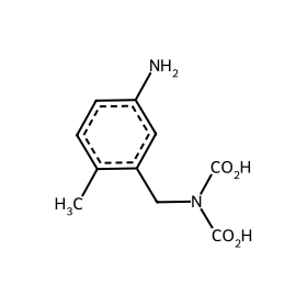 Cc1ccc(N)cc1CN(C(=O)O)C(=O)O